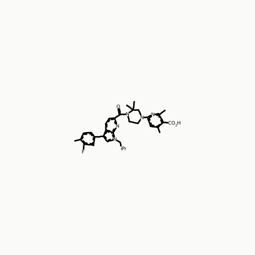 Cc1ccc(-c2cn(CC(C)C)c3nc(C(=O)N4CCN(c5cc(C)c(C(=O)O)c(C)n5)CC4(C)C)ccc23)cc1F